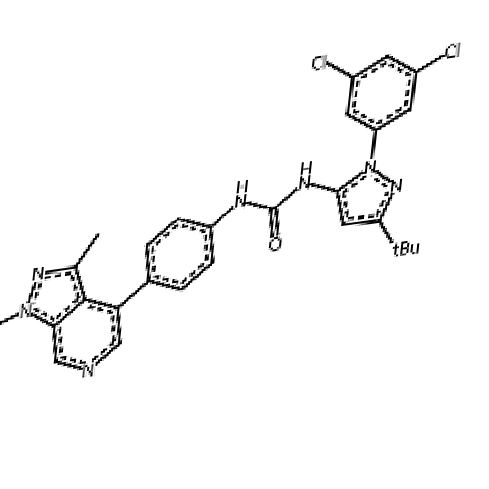 Cc1nn(C)c2cncc(-c3ccc(NC(=O)Nc4cc(C(C)(C)C)nn4-c4cc(Cl)cc(Cl)c4)cc3)c12